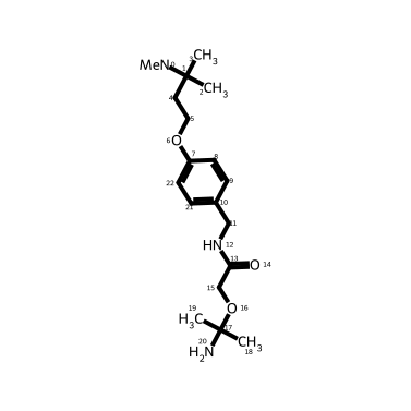 CNC(C)(C)CCOc1ccc(CNC(=O)COC(C)(C)N)cc1